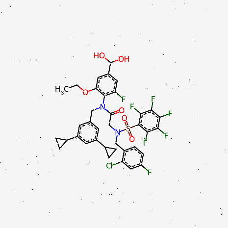 CCOc1cc(C(O)O)cc(F)c1N(Cc1cc(C2CC2)cc(C2CC2)c1)C(=O)CN(Cc1ccc(F)cc1Cl)S(=O)(=O)c1c(F)c(F)c(F)c(F)c1F